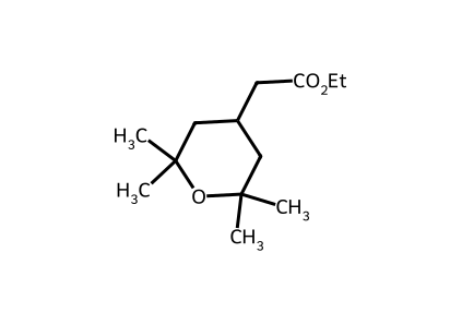 CCOC(=O)CC1CC(C)(C)OC(C)(C)C1